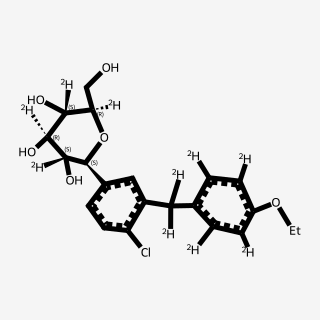 [2H]c1c([2H])c(C([2H])([2H])c2cc([C@@H]3O[C@]([2H])(CO)[C@@]([2H])(O)[C@]([2H])(O)[C@@]3([2H])O)ccc2Cl)c([2H])c([2H])c1OCC